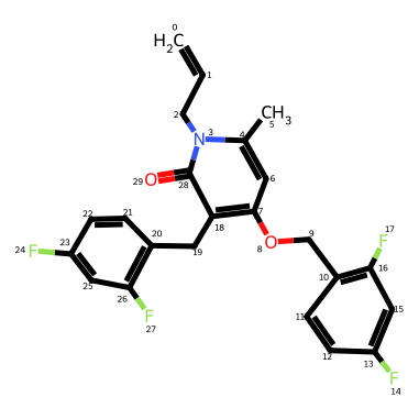 C=CCn1c(C)cc(OCc2ccc(F)cc2F)c(Cc2ccc(F)cc2F)c1=O